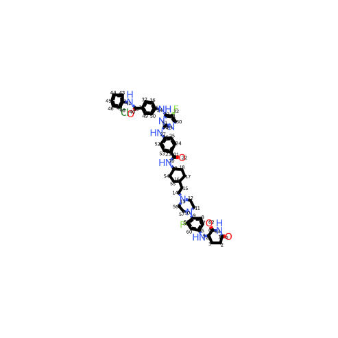 O=C1CCC(Nc2ccc(N3CCN(CCC4CCC(NC(=O)c5ccc(Nc6ncc(F)c(Nc7ccc(C(=O)Nc8ccccc8Cl)cc7)n6)cc5)CC4)CC3)c(F)c2)C(=O)N1